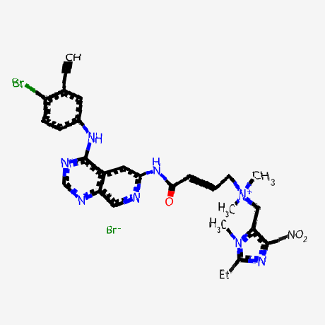 C#Cc1cc(Nc2ncnc3cnc(NC(=O)/C=C/C[N+](C)(C)Cc4c([N+](=O)[O-])nc(CC)n4C)cc23)ccc1Br.[Br-]